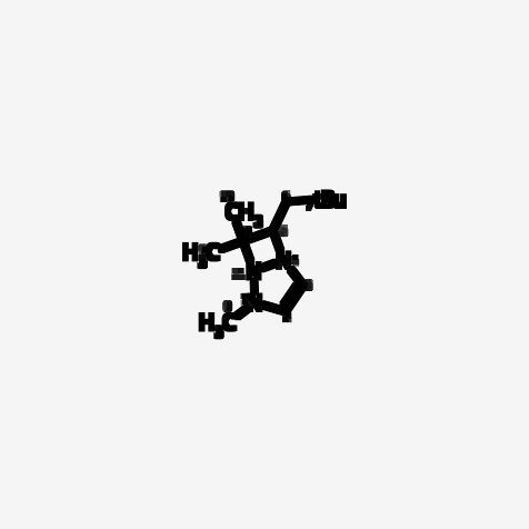 CN1C=CN2C(CC(C)(C)C)C(C)(C)N12